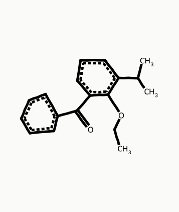 CCOc1c(C(=O)c2ccccc2)cccc1C(C)C